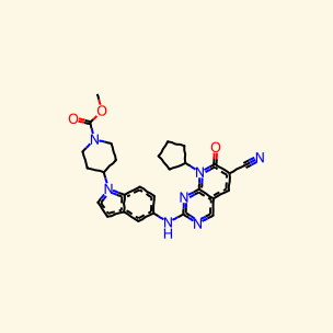 COC(=O)N1CCC(n2ccc3cc(Nc4ncc5cc(C#N)c(=O)n(C6CCCC6)c5n4)ccc32)CC1